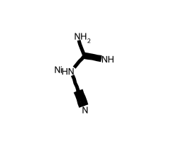 N#CNC(=N)N.[Ni]